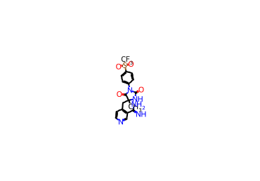 CC1(Cc2ccncc2C(=N)N)NC(=O)N(c2ccc(S(=O)(=O)C(F)(F)F)cc2)C1=O